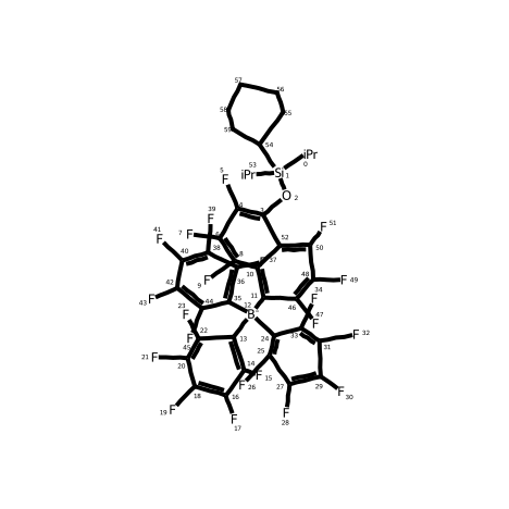 CC(C)[Si](Oc1c(F)c(F)c(F)c2c([B-](c3c(F)c(F)c(F)c(F)c3F)(c3c(F)c(F)c(F)c(F)c3F)c3c(F)c(F)c(F)c(F)c3F)c(F)c(F)c(F)c12)(C(C)C)C1CCCCC1